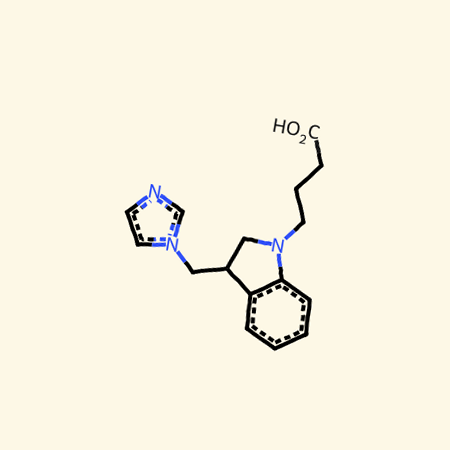 O=C(O)CCCN1CC(Cn2ccnc2)c2ccccc21